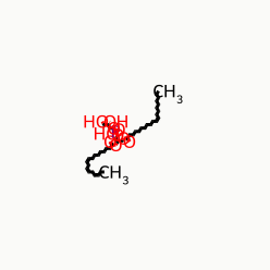 CC/C=C\C/C=C\C/C=C\CCCCCCCC(=O)O[C@H](COC(=O)CCCCCCCCC/C=C\CCCCCCCC)COP(=O)(O)OC[C@@H](O)CO